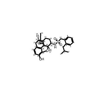 CC(C)Cc1ccccc1CS(=O)(=O)N[C@@H]1CC[C@@]2(O)[C@H]3Cc4ccc(O)c5c4[C@@]2(CCN3C)[C@H]1O5